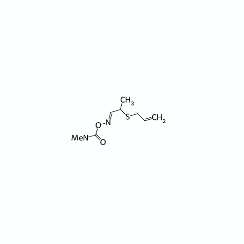 C=CCSC(C)C=NOC(=O)NC